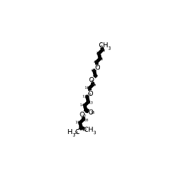 CCCCCOCCOCCOCCCC(=O)OCCC(C)C